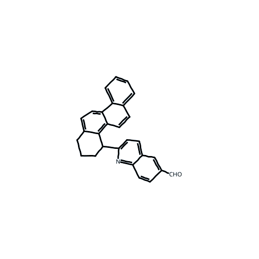 O=Cc1ccc2nc(C3CCCc4ccc5c(ccc6ccccc65)c43)ccc2c1